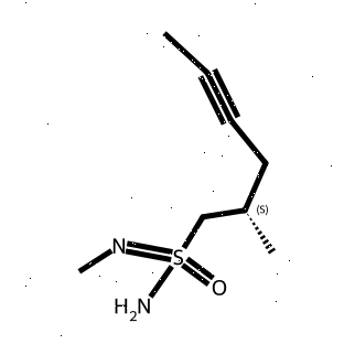 CC#CC[C@H](C)CS(N)(=O)=NC